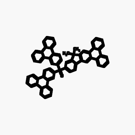 CC1(C)c2cc(P(=O)(c3ccc4c5ccccc5c5ccccc5c4c3)c3ccc4c5ccccc5c5ccccc5c4c3)ccc2-c2cc3c4ccccc4c4ccccc4c3cc21